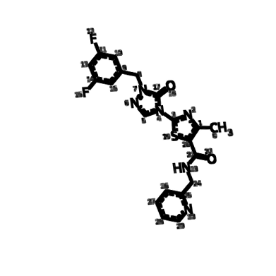 Cc1nc(-n2cnn(Cc3cc(F)cc(F)c3)c2=O)sc1C(=O)NCc1ccccn1